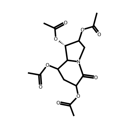 CC(=O)OC1CC(OC(C)=O)C2[C@H](OC(C)=O)C(OC(C)=O)CN2C1=O